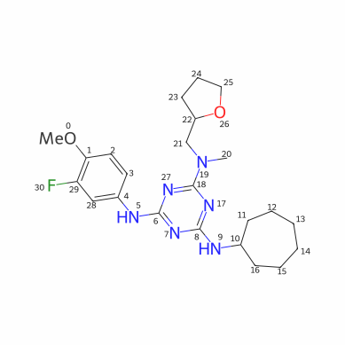 COc1ccc(Nc2nc(NC3CCCCCC3)nc(N(C)CC3CCCO3)n2)cc1F